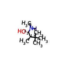 C[C@@H]([C@H](O)N(C)I)C(C)(C)C